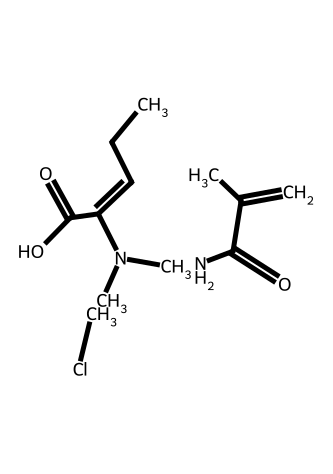 C=C(C)C(N)=O.CC/C=C(\C(=O)O)N(C)C.CCl